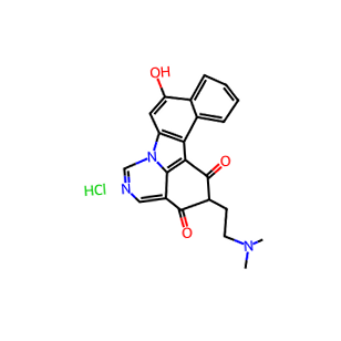 CN(C)CCC1C(=O)c2cncn3c2c(c2c4ccccc4c(O)cc23)C1=O.Cl